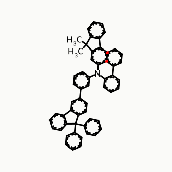 CC1(C)c2ccccc2-c2ccc(N(c3cccc(-c4ccc5c(c4)-c4ccccc4C5(c4ccccc4)c4ccccc4)c3)c3ccccc3-c3ccccc3)cc21